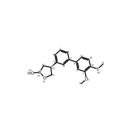 COc1cc(-c2cccc([C@H]3COB(O)C3)c2)ccc1SC